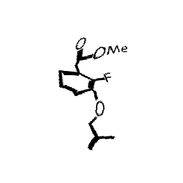 C=C(C)COc1cccc(C(=O)OC)c1F